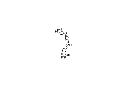 O=C(OCc1cccc(C(O)C(F)(F)F)c1)N1CC2CN(C(=O)c3ccc4[nH]nnc4c3)CC2C1